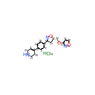 C1=C(c2ccc(C3=NO[C@H](COc4ccon4)C3)cc2)CCNC1.Cl